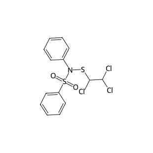 O=S(=O)(c1ccccc1)N(SC(Cl)C(Cl)Cl)c1ccccc1